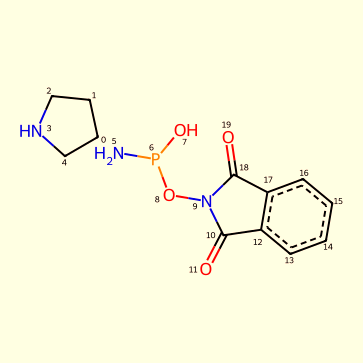 C1CCNC1.NP(O)ON1C(=O)c2ccccc2C1=O